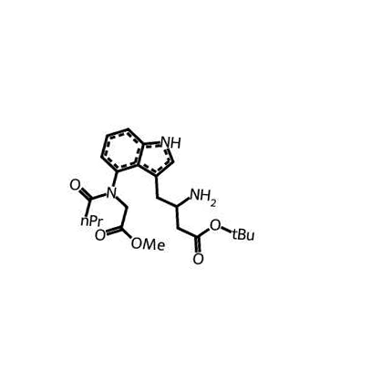 CCCC(=O)N(CC(=O)OC)c1cccc2[nH]cc(CC(N)CC(=O)OC(C)(C)C)c12